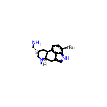 CN1C[C@H](CN)CC2c3ccc(C(C)(C)C)c4[nH]cc(c34)C[C@H]21